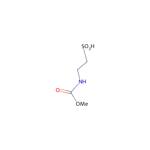 COC(=O)NCCS(=O)(=O)O